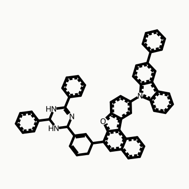 C1=CC(C2N=C(c3ccccc3)NC(c3ccccc3)N2)=CC(c2cc3ccccc3c3c2oc2ccc(-n4c5ccccc5c5cc(-c6ccccc6)ccc54)cc23)C1